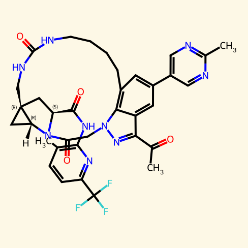 CC(=O)c1nn2c3c(cc(-c4cnc(C)nc4)cc13)CCCCNC(=O)NC[C@@]13C[C@@H](C(=O)Nc4nc(C(F)(F)F)ccc4C)N(C(=O)C2)[C@@H]1C3